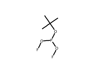 CC(C)(C)OP(OF)OF